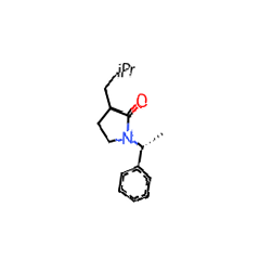 CC(C)CC1CCN([C@H](C)c2ccccc2)C1=O